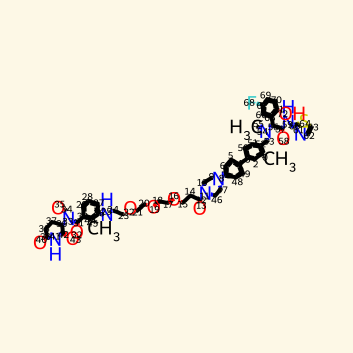 Cc1cc(-c2ccc(N3CCN(C(=O)CCOCCOCCOCCNc4cccc(C(=O)N(C=O)C5CCC(=O)NC5=O)c4C)CC3)cc2)ccc1CN(C)C(C(=O)Nc1nccs1)c1cc(F)ccc1O